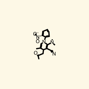 CC(=O)CC1C(C)=CN(c2ccccc2[N+](=O)[O-])C(N(C)C)=C1C#N